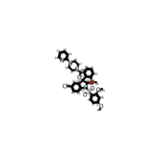 COc1ccc(S(=O)(=O)N2C(=O)C(OC(=O)N3CCN(c4ccccn4)CC3)(c3ccccc3OC)c3cc(Cl)ccc32)c(OC)c1